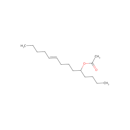 CCCCC=CCCCC(CCCC)OC(C)=O